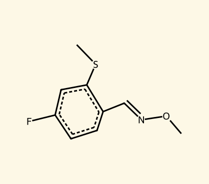 CON=Cc1ccc(F)cc1SC